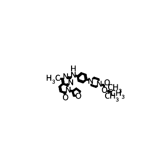 Cc1nc(Nc2ccc(N3CCN(C(=O)OC(C)(C)C)CC3)cc2)nc2c1ccc(=O)n2C1CCOC1